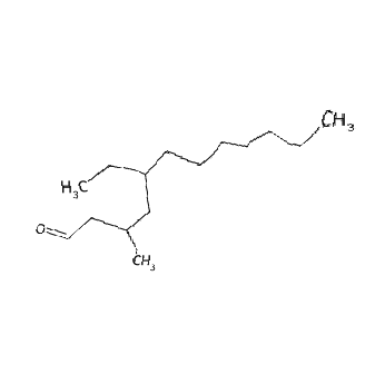 CCCCCCCC(CC)CC(C)CC=O